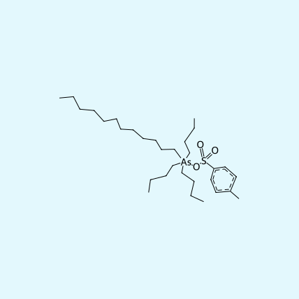 CCCCCCCCCCCC[As](CCCC)(CCCC)(CCCC)OS(=O)(=O)c1ccc(C)cc1